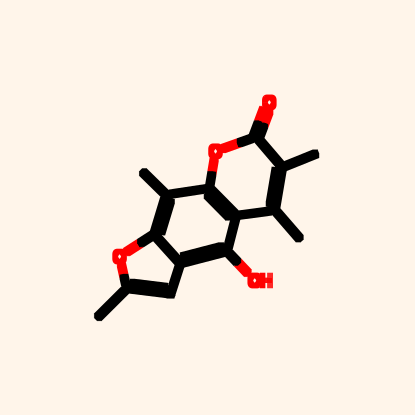 Cc1cc2c(O)c3c(C)c(C)c(=O)oc3c(C)c2o1